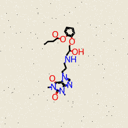 CCCC(=O)Oc1ccccc1OCC(O)CNCCCn1cnc2c1c(=O)n(C)c(=O)n2C